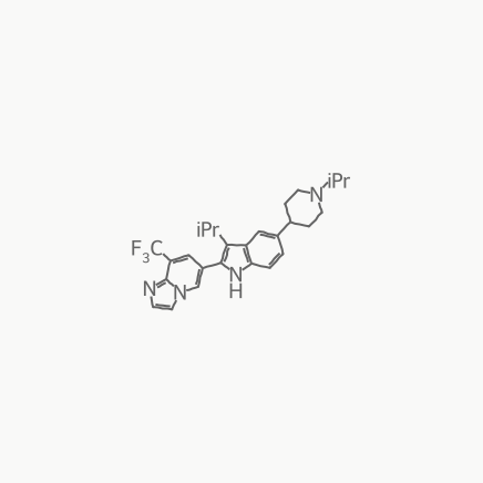 CC(C)c1c(-c2cc(C(F)(F)F)c3nccn3c2)[nH]c2ccc(C3CCN(C(C)C)CC3)cc12